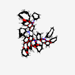 c1ccc(-c2cccc(-c3cccc(-c4cccc(-c5ccccc5)c4)c3N3c4cc(N(c5ccccc5)c5ccccc5)ccc4B4c5ccc(N(c6ccccc6)c6ccccc6)cc5N(c5c(-c6cccc(-c7ccccc7)c6)cccc5-c5cccc(-c6ccccc6)c5)c5cc(-c6ccccc6)cc3c54)c2)cc1